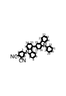 N#Cc1ccc(-n2c3ccccc3c3c(-c4ccc5c(c4)c4ccccc4n5-c4ccccc4)cccc32)cc1C#N